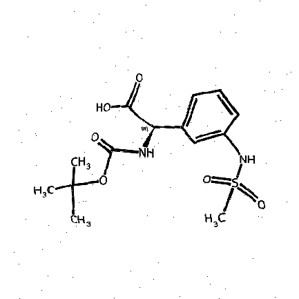 CC(C)(C)OC(=O)N[C@@H](C(=O)O)c1cccc(NS(C)(=O)=O)c1